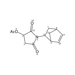 CC(=O)OC1CC(=O)N(C2CC3C=CC2C3)C1=O